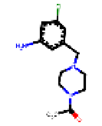 Nc1cc(Cl)cc(CN2CCN(C(=O)C(Cl)(Cl)Cl)CC2)c1